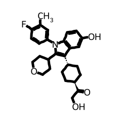 Cc1cc(-n2c(C3CCOCC3)c([C@H]3CC[C@H](C(=O)CO)CC3)c3cc(O)ccc32)ccc1F